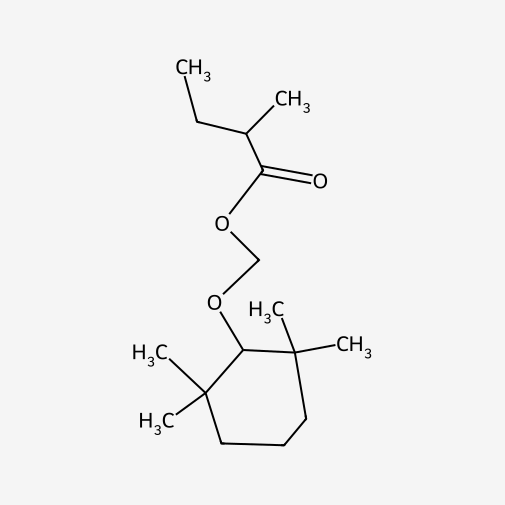 CCC(C)C(=O)OCOC1C(C)(C)CCCC1(C)C